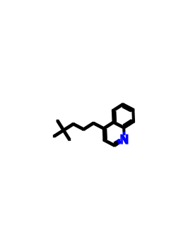 CC(C)(C)CCCc1ccnc2ccccc12